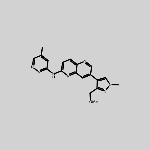 COCc1nn(C)cc1-c1cnc2ccc(Nc3cc(C)cnn3)nc2c1